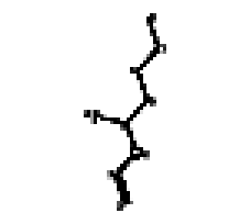 C=COC(F)CCCC